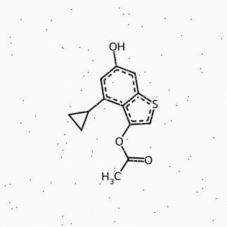 CC(=O)Oc1csc2cc(O)cc(C3CC3)c12